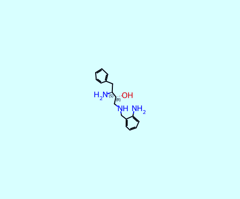 Nc1ccccc1CNC[C@@H](O)[C@@H](N)Cc1ccccc1